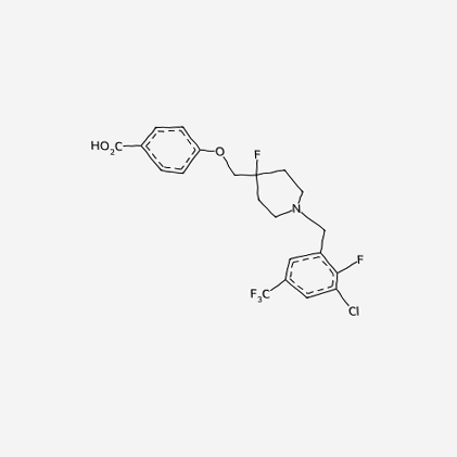 O=C(O)c1ccc(OCC2(F)CCN(Cc3cc(C(F)(F)F)cc(Cl)c3F)CC2)cc1